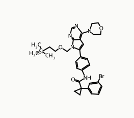 C[Si](C)(C)CCOCn1c(-c2ccc(NC(=O)C3(c4cccc(Br)c4)CC3)cc2)cc2c(N3CCOCC3)ncnc21